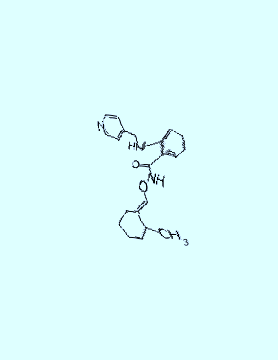 CC1CCCCC1=CONC(=O)c1ccccc1NCc1ccncc1